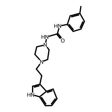 Cc1cccc(NC(=O)NN2CCN(CCc3c[nH]c4ccccc34)CC2)c1